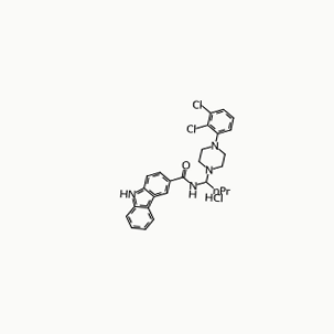 CCCC(NC(=O)c1ccc2[nH]c3ccccc3c2c1)N1CCN(c2cccc(Cl)c2Cl)CC1.Cl